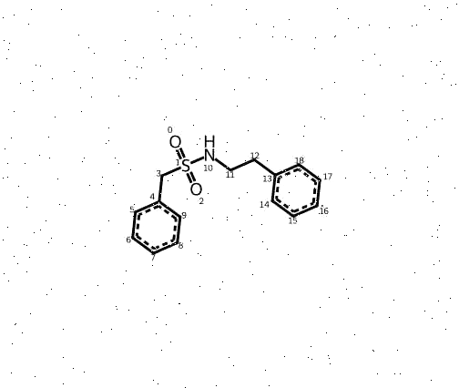 O=S(=O)(Cc1ccccc1)NCCc1cc[c]cc1